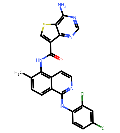 Cc1ccc2c(Nc3ccc(Cl)cc3Cl)nccc2c1NC(=O)c1csc2c(N)ncnc12